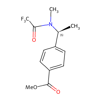 COC(=O)c1ccc([C@H](C)N(C)C(=O)C(F)(F)F)cc1